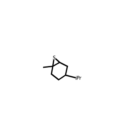 CC(C)C1CCC2(C)SC2C1